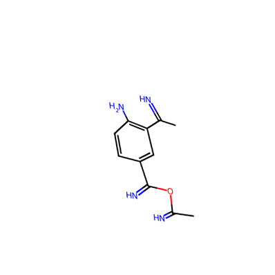 CC(=N)OC(=N)c1ccc(N)c(C(C)=N)c1